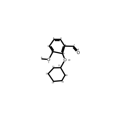 COc1cccc(C=O)c1OC1CCCCC1